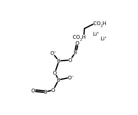 O=BOB([O-])OB([O-])OB=O.O=C(O)CC(=O)O.[Li+].[Li+]